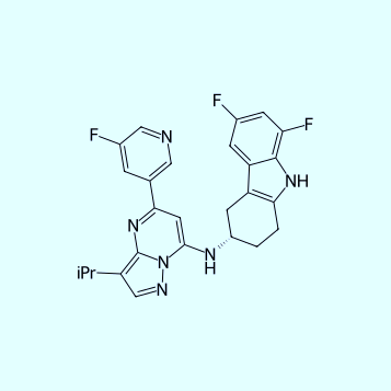 CC(C)c1cnn2c(N[C@H]3CCc4[nH]c5c(F)cc(F)cc5c4C3)cc(-c3cncc(F)c3)nc12